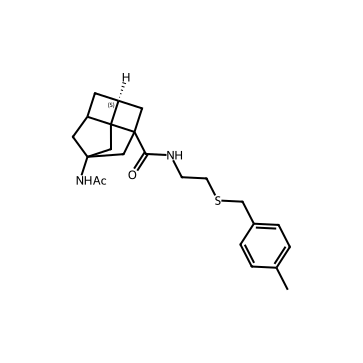 CC(=O)NC12CC3C[C@H]4CC(C(=O)NCCSCc5ccc(C)cc5)(C1)C34C2